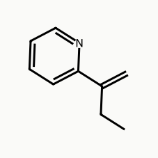 C=C(CC)c1ccccn1